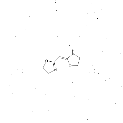 C(/C1=NCCO1)=C1\NCCO1